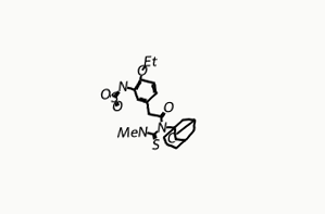 CCOc1ccc(CC(=O)N(C(=S)NC)C23CC4CC(CC(C4)C2)C3)cc1N=S(=O)=O